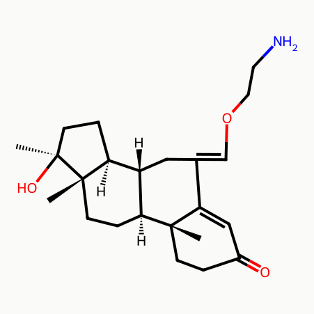 C[C@]12CCC(=O)C=C1C(=COCCN)C[C@@H]1[C@@H]2CC[C@@]2(C)[C@H]1CC[C@]2(C)O